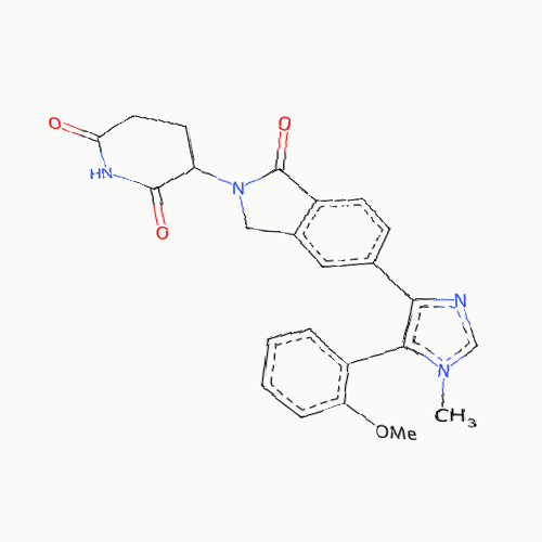 COc1ccccc1-c1c(-c2ccc3c(c2)CN(C2CCC(=O)NC2=O)C3=O)ncn1C